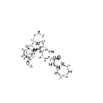 C=CCN1CCC2CCCC(C1)N2C(c1ccc(C(=O)NN2CCCCCC2)cc1)c1cccc(OC)c1